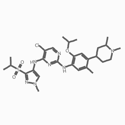 Cc1cc(Nc2ncc(Cl)c(Nc3cn(C)nc3S(=O)(=O)C(C)C)n2)c(OC(C)C)cc1C1CCN(C)C(C)C1